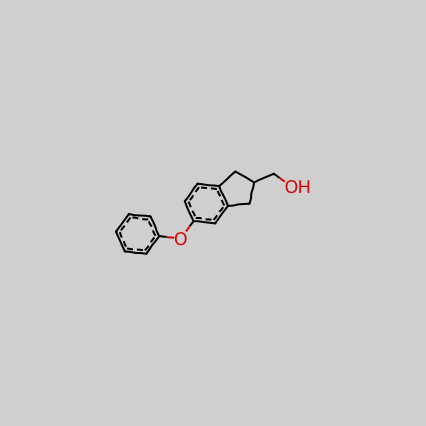 OCC1Cc2ccc(Oc3ccccc3)cc2C1